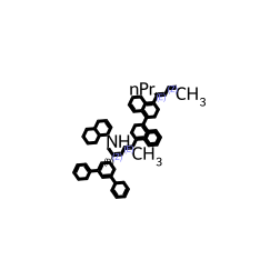 C/C=C\C=C(/CCC)C1=C2CCC=CC2=C(C2=c3ccccc3=C(/C(C)=C/C=C(\CNC3C=CCC4CCCCC43)[C@H]3C=C(C4=CC=CCC4)C=C(C4C=CC=CC4)C3)CC2)CC1